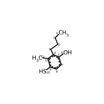 CCCCc1c(O)ccc(S)c1C